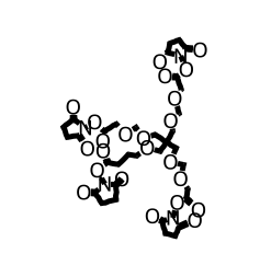 O=C(CCCOCC(COCOCC(=O)ON1C(=O)CCC1=O)(COCOCC(=O)ON1C(=O)CCC1=O)COCOCC(=O)ON1C(=O)CCC1=O)ON1C(=O)CCC1=O